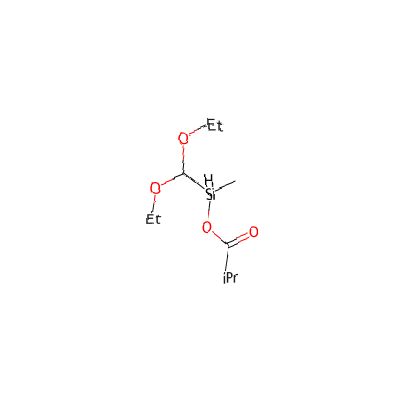 CCOC(OCC)[SiH](C)OC(=O)C(C)C